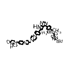 Cc1cc(-c2ncnc3[nH]c(-c4ccc(N5CCN(CC6CCN(c7ccc(N8CCC(=O)NC8=O)cc7)CC6)CC5)cc4)cc23)ccc1[C@@H](C)NC(=O)c1nc(C(C)(C)C)no1